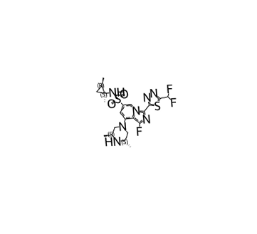 C[C@@H]1C[C@]1(C)NS(=O)(=O)c1cc(N2C[C@H](C)N[C@@H](C)C2)c2c(F)nc(-c3nnc(C(F)F)s3)n2c1